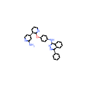 Nc1cc(-c2cccnc2Oc2ccc(Nc3nnc(-c4ccccc4)c4ccccc34)cc2)ccn1